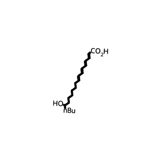 CCCCC(O)CCCCCCC=CC=CC=CC=CC(=O)O